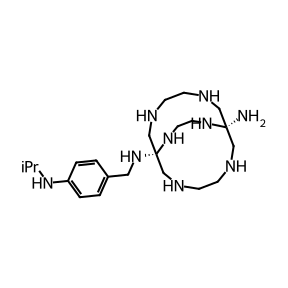 CC(C)Nc1ccc(CN[C@]23CNCCNC[C@](N)(CNCCNC2)NCCN3)cc1